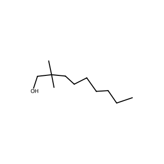 CCCCCCCC(C)(C)CO